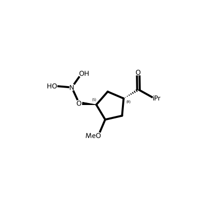 COC1C[C@@H](C(=O)C(C)C)C[C@@H]1ON(O)O